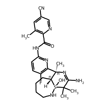 Cc1cc(C#N)cnc1C(=O)Nc1ccc(F)c([C@@]2(C)N=C(N)C(C)(C)S3(O)NCCCC[C@H]23)n1